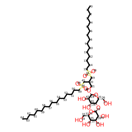 CCCCCCCCCCCCCCCCS(=O)(=O)CC(CO[C@@H]1O[C@H](CO)[C@H](O[C@H]2O[C@H](CO)[C@H](O)[C@H](O)[C@H]2O)[C@H](O)[C@H]1O)CS(=O)(=O)CCCCCCCCCCCCCCCC